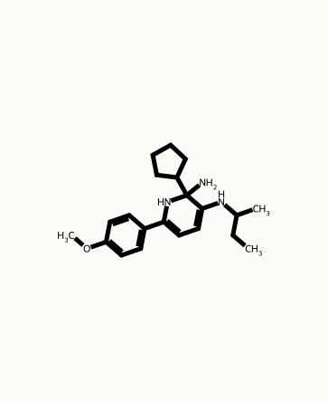 CCC(C)NC1=CC=C(c2ccc(OC)cc2)NC1(N)C1CCCC1